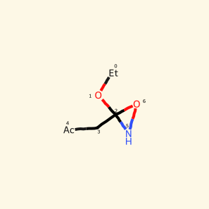 CCOC1(CC(C)=O)NO1